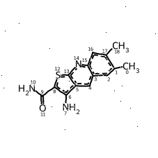 Cc1cc2cc3c(N)c(C(N)=O)sc3nc2cc1C